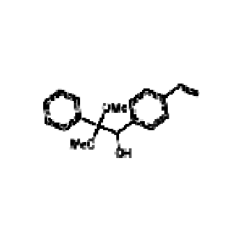 C=Cc1ccc(C(O)C(OC)(OC)c2ccccc2)cc1